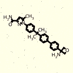 Cc1cc(C(N)=O)nn1-c1ccc(C(C)(C)c2ccc(-c3ccc(C4(N)COC4)cc3)cc2)cc1